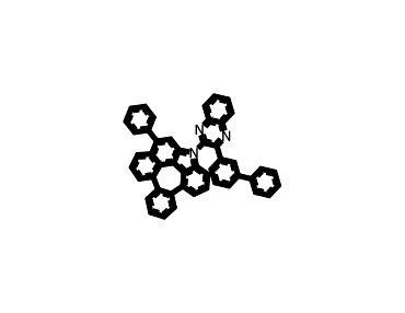 c1ccc(-c2cccc(-c3nc4ccccc4nc3-n3c4cccc5c4c4c6c(cccc6c(-c6ccccc6)cc43)-c3ccccc3-5)c2)cc1